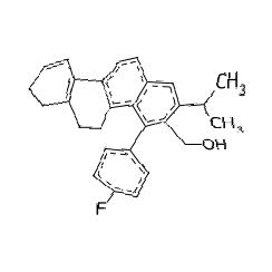 CC(C)c1cc2ccc3c(c2c(-c2ccc(F)cc2)c1CO)CCC1=C3C=CCC1